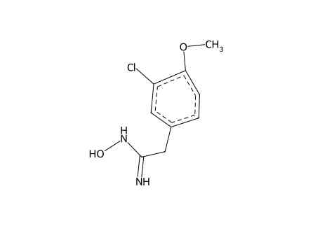 COc1ccc(CC(=N)NO)cc1Cl